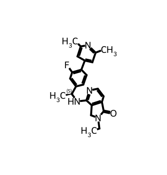 CCN1Cc2c(ccnc2N[C@@H](C)c2ccc(-c3cc(C)nc(C)c3)c(F)c2)C1=O